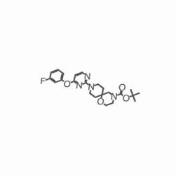 CC(C)(C)OC(=O)N1CCOC2(CCN(c3nccc(Oc4cccc(F)c4)n3)CC2)C1